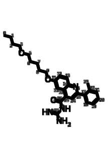 CCCCOCCCCCOc1ccc2nc(-c3ccccc3C)cc(C(=O)NC(=N)N)c2c1